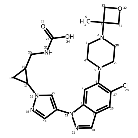 CC1(N2CCN(c3cc4c(cnn4-c4cnn(C5CC5CNC(=O)O)c4)cc3Cl)CC2)COC1